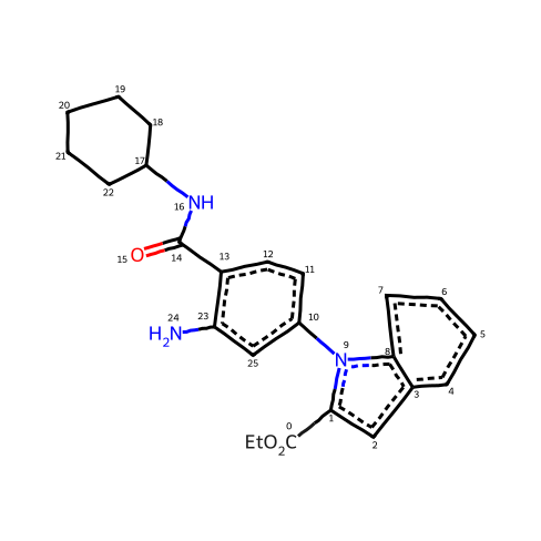 CCOC(=O)c1cc2ccccc2n1-c1ccc(C(=O)NC2CCCCC2)c(N)c1